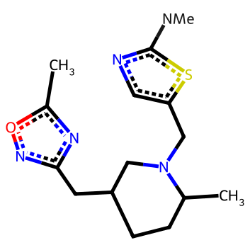 CNc1ncc(CN2CC(Cc3noc(C)n3)CCC2C)s1